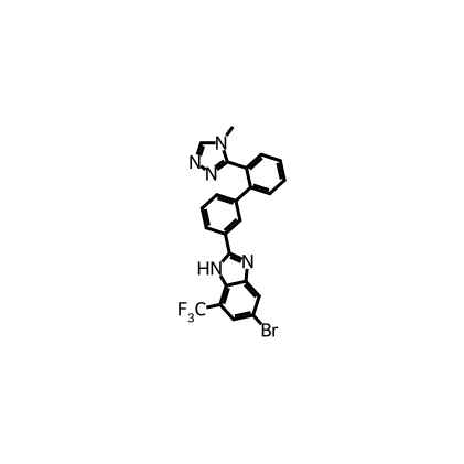 Cn1cnnc1-c1ccccc1-c1cccc(-c2nc3cc(Br)cc(C(F)(F)F)c3[nH]2)c1